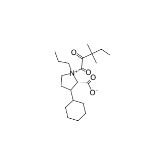 CCC[N+]1(C(=O)C(=O)C(C)(C)CC)CCC(C2CCCCC2)[C@H]1C(=O)[O-]